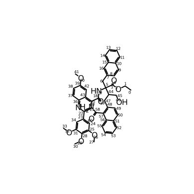 CCOC(=O)C(Cc1ccc2ccccc2c1)(NC(=O)c1cc(-c2cc(OC)c(OC)c(OC)c2)nc2ccc(OC)cc12)C(CO)Cc1ccc2ccccc2c1C(N)=O